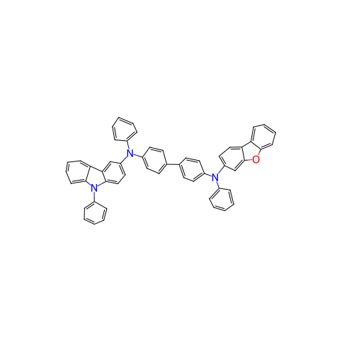 c1ccc(N(c2ccc(-c3ccc(N(c4ccccc4)c4ccc5c(c4)c4ccccc4n5-c4ccccc4)cc3)cc2)c2ccc3c(c2)oc2ccccc23)cc1